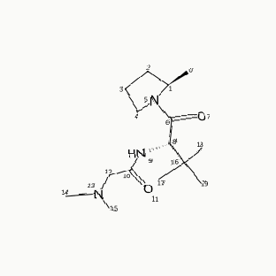 C[C@@H]1CCCN1C(=O)[C@@H](NC(=O)CN(C)C)C(C)(C)C